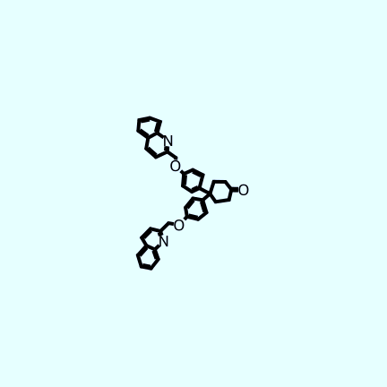 O=C1CCC(c2ccc(OCc3ccc4ccccc4n3)cc2)(c2ccc(OCc3ccc4ccccc4n3)cc2)CC1